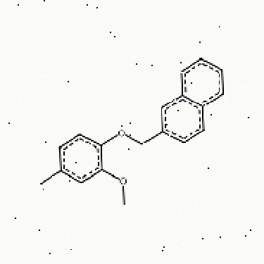 COc1cc(C)ccc1OCc1ccc2ccccc2c1